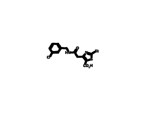 CCc1nc(CC(=O)NCc2cccc(Cl)c2)c(C(=O)O)s1